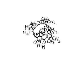 CO[C@H]1/C=C\O[C@@]2(C)Oc3c(C)c(O)c4c(c3C2=O)C(=O)c2c(NN3CCN(C)CC3)/c(c(=O)[nH]c2=C4O)=C\C=C\[C@H](C)[C@H](O)[C@H](C)[C@@H](O)[C@@H](C)[C@H](OC(C)=O)[C@@H]1C